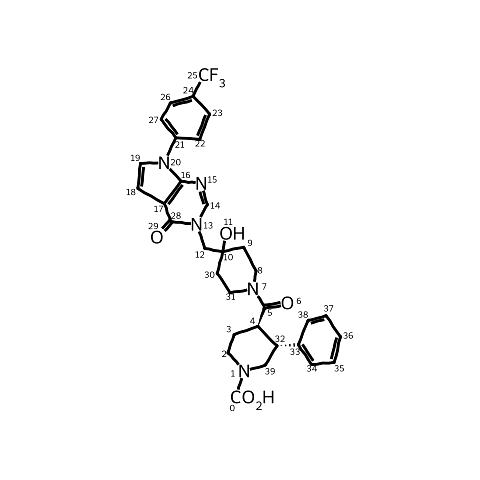 O=C(O)N1CC[C@@H](C(=O)N2CCC(O)(Cn3cnc4c(ccn4-c4ccc(C(F)(F)F)cc4)c3=O)CC2)[C@H](c2ccccc2)C1